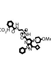 COC1CCN(c2cc(C(=O)NS(=O)(=O)CCNC(=O)c3ccccc3C(=O)O)nc3c2c(C2CCC2)nn3-c2ccccc2)CC1